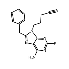 C#CCCCn1c(Cc2ccccc2)nc2c(N)nc(F)nc21